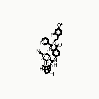 COc1ccc(CCn2c(-c3cccnc3)nc3cc(N=C(N[C@H]4C[C@H]5C[C@H]([C@H]4C)C5(C)C)N4C[C@@H](C)N(C#N)[C@@H](C)C4)ccc3c2=O)c(F)c1